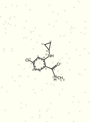 CNC(=O)c1cnc(Cl)cc1NC1CC1